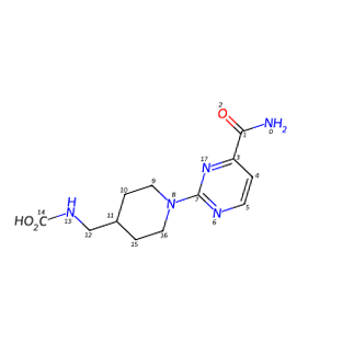 NC(=O)c1ccnc(N2CCC(CNC(=O)O)CC2)n1